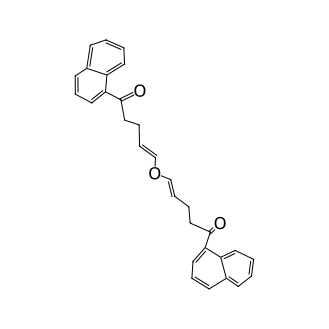 O=C(CCC=COC=CCCC(=O)c1cccc2ccccc12)c1cccc2ccccc12